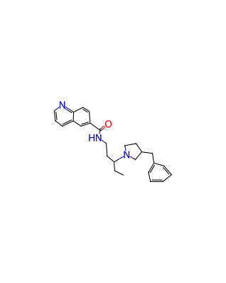 CCC(CCNC(=O)c1ccc2ncccc2c1)N1CCC(Cc2ccccc2)C1